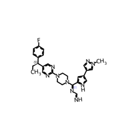 CC[C@@H](c1ccc(F)cc1)c1cnc(N2CCN(/C(=N/C=N)c3cc(-c4cnn(C)c4)c[nH]3)CC2)nc1